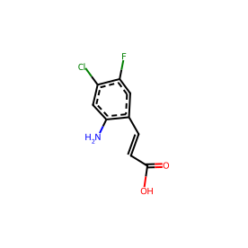 Nc1cc(Cl)c(F)cc1C=CC(=O)O